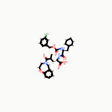 CC(C[C@H](NC(=O)[C@H](CC1CCCCC1)NC(=O)OCc1cccc(Cl)c1)C(=O)O)C(=O)N1CCOc2ccccc2C1